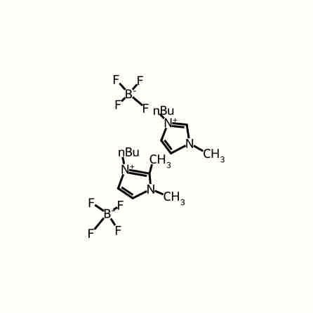 CCCC[n+]1ccn(C)c1.CCCC[n+]1ccn(C)c1C.F[B-](F)(F)F.F[B-](F)(F)F